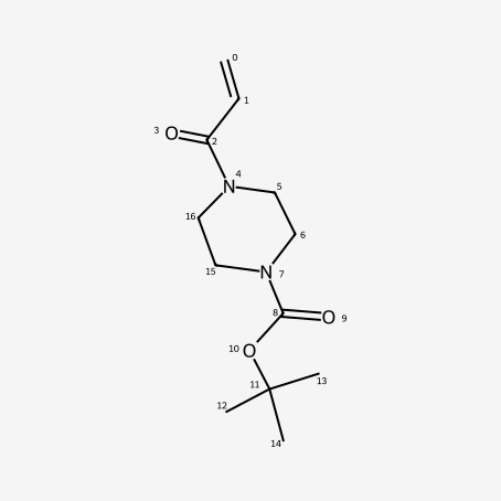 C=CC(=O)N1CCN(C(=O)OC(C)(C)C)CC1